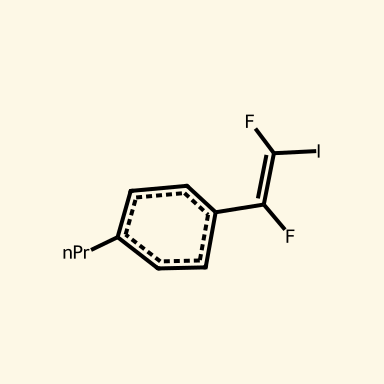 CCCc1ccc(/C(F)=C(\F)I)cc1